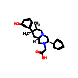 C[C@H]1CN2C[C@H](c3ccccc3)N(CC(=O)O)C[C@H]2C[C@@]1(C)c1cccc(O)c1